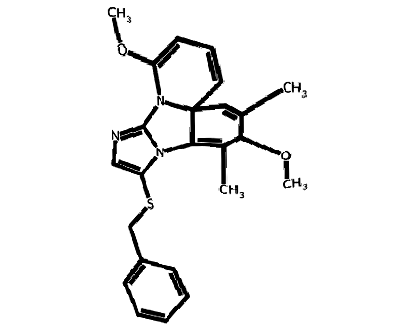 COC1=CC=CC23C=C(C)C(OC)C(C)=C2n2c(SCc4ccccc4)cnc2N13